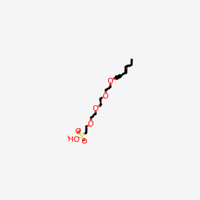 CCCCC#COCCOCCOCCOCCS(=O)(=O)O